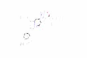 CCOC(=O)C1C(O)c2c(cc(CC)n(CC(=O)c3cccc(OC)c3)c2=O)N1C